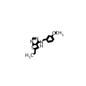 CCc1cc2c(NCc3cccc(OC)c3)ncnc2s1